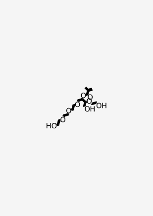 C=C(C)C(=O)OC(COCCOCCOCCO)C(CO)OCCO